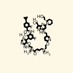 CCc1cnn2c(NCc3ccc(OCCN(C)C/C=C/C(=O)N(C)CCOc4c(N)ncnc4-c4cc(F)cc(NC(=O)c5ccc(C6CC6)cc5F)c4C)nc3)cc(N3CCCC[C@H]3CCO)nc12